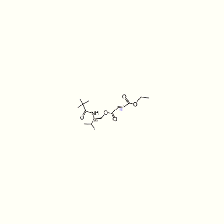 CCOC(=O)/C=C/C(=O)OC[C@H](NC(=O)C(C)(C)C)C(C)C